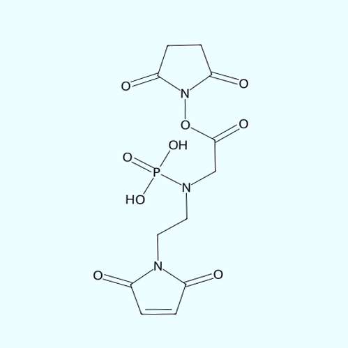 O=C(CN(CCN1C(=O)C=CC1=O)P(=O)(O)O)ON1C(=O)CCC1=O